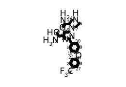 NC(=O)C1CNCCN1c1cc(C(N)O)nc(-c2ccc(Oc3ccc(C(F)(F)F)cc3)cc2)n1